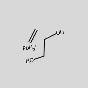 C=C.OCCO.[PbH2]